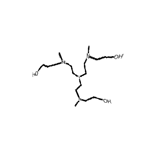 CN(CCO)CCN(CCN(C)CCO)CCN(C)CCO